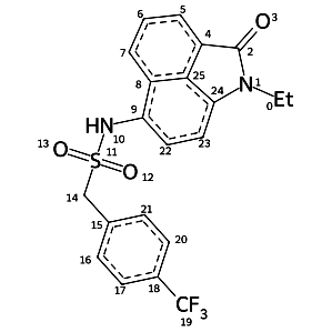 CCN1C(=O)c2cccc3c(NS(=O)(=O)Cc4ccc(C(F)(F)F)cc4)ccc1c23